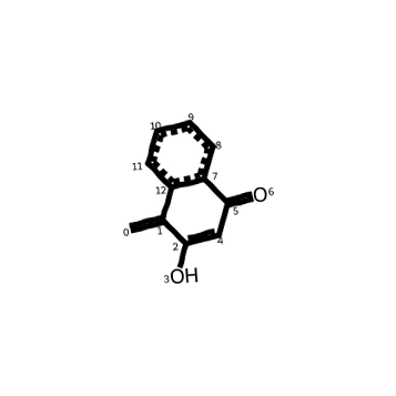 C=C1C(O)=CC(=O)c2ccccc21